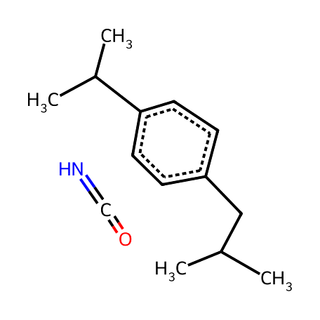 CC(C)Cc1ccc(C(C)C)cc1.N=C=O